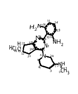 CNC1CCCN(c2nc(-c3c(N)cccc3N)nc3c2CCC3)C1.Cl.Cl